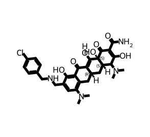 CN(C)c1cc(CNCc2ccc(Cl)cc2)c(O)c2c1C[C@H]1C[C@H]3C(N(C)C)C(O)=C(C(N)=O)C(=O)[C@@]3(O)C(O)=C1C2=O